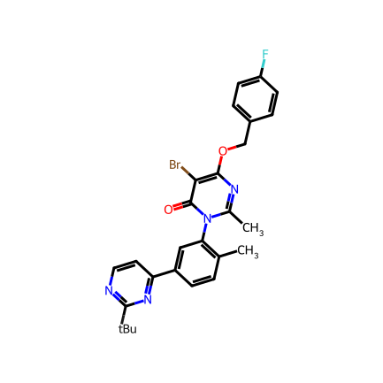 Cc1ccc(-c2ccnc(C(C)(C)C)n2)cc1-n1c(C)nc(OCc2ccc(F)cc2)c(Br)c1=O